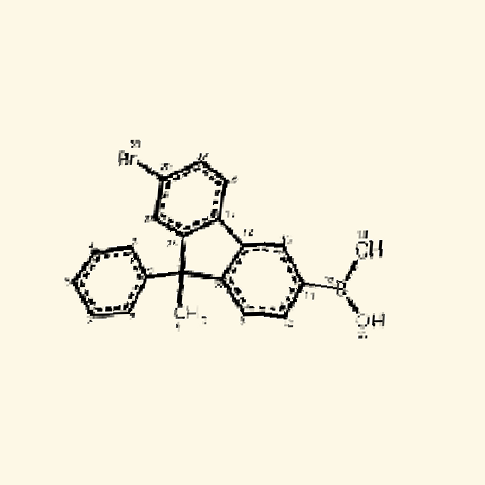 CC1(c2ccccc2)c2ccc(B(O)O)cc2-c2ccc(Br)cc21